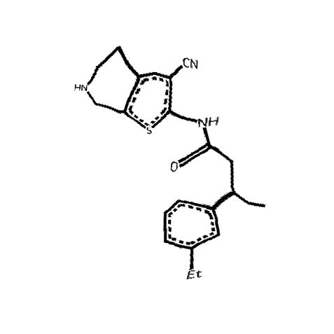 CCc1cccc(C(C)CC(=O)Nc2sc3c(c2C#N)CCNC3)c1